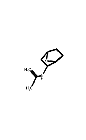 C=C(C)NC1CC2CCC1O2